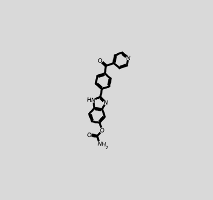 NC(=O)Oc1ccc2[nH]c(-c3ccc(C(=O)c4ccncc4)cc3)nc2c1